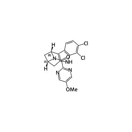 COc1cnc(C(=O)N2[C@@H]3Cc4[nH]c5c(Cl)c(Cl)ccc5c4[C@H]2C3)nc1